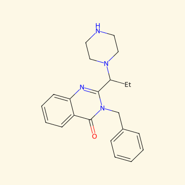 CCC(c1nc2ccccc2c(=O)n1Cc1ccccc1)N1CCNCC1